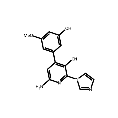 COc1cc(O)cc(-c2cc(N)nc(-n3ccnc3)c2C#N)c1